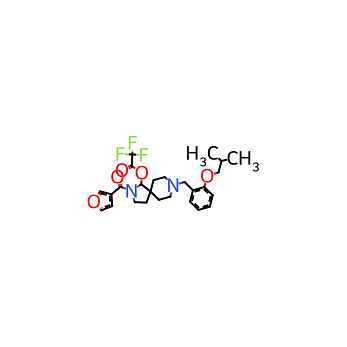 CC(C)COc1ccccc1CN1CCC2(CC1)CCN(C(=O)c1ccoc1)C2OC(=O)C(F)(F)F